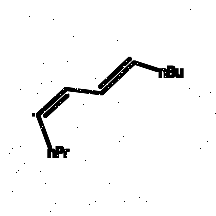 CCC/[C]=C\C=C\CCCC